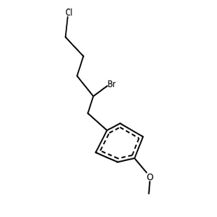 COc1ccc(CC(Br)CCCCl)cc1